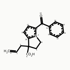 C=CCC1(C(=O)O)CCn2c(C(=O)c3ccccc3)ccc21